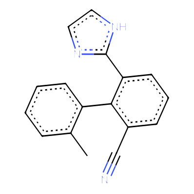 Cc1ccccc1-c1c(C#N)cccc1-c1ncc[nH]1